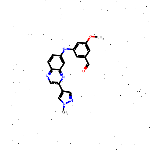 COc1cc(C=O)cc(Nc2ccc3ncc(-c4cnn(C)c4)nc3c2)c1